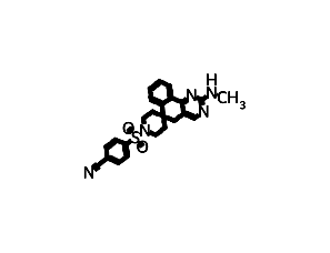 CNc1ncc2c(n1)-c1ccccc1C1(CCN(S(=O)(=O)c3ccc(C#N)cc3)CC1)C2